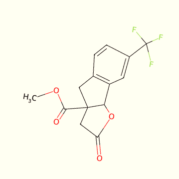 COC(=O)C12CC(=O)OC1c1cc(C(F)(F)F)ccc1C2